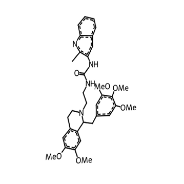 COc1cc2c(cc1OC)C(Cc1cc(OC)c(OC)c(OC)c1)N(CCNC(=O)Nc1cc3ccccc3nc1C)CC2